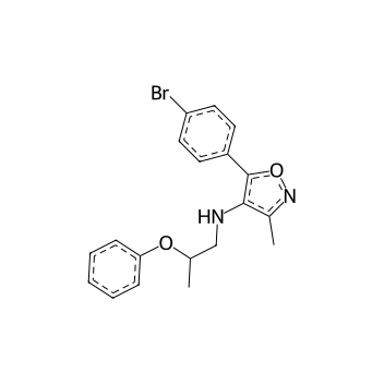 Cc1noc(-c2ccc(Br)cc2)c1NCC(C)Oc1ccccc1